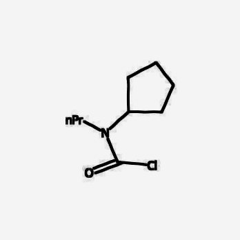 CCCN(C(=O)Cl)C1CCCC1